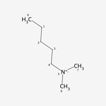 CCCCC[N+](C)C